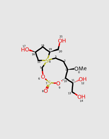 CO[C@@H]1CCS2(COS(=O)O[C@H]1[C@H](O)CO)C[C@@H](O)C[C@H]2CO